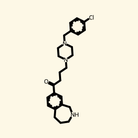 O=C(CCCN1CCN(Cc2ccc(Cl)cc2)CC1)c1ccc2c(c1)CNCCC2